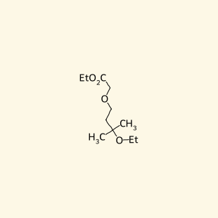 CCOC(=O)COCCC(C)(C)OCC